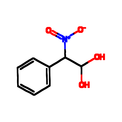 O=[N+]([O-])C(c1ccccc1)C(O)O